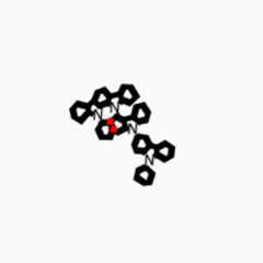 c1ccc(-n2c3ccccc3c3cc(-n4c5ccccc5c5c(-n6c7ccccc7c7ccc8c9ccccc9n(-c9ccccc9)c8c76)cccc54)ccc32)cc1